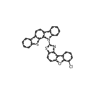 Clc1cccc2c1oc1ccc3sc(-n4c5ccccc5c5ccc6c7ccccc7sc6c54)nc3c12